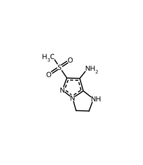 CS(=O)(=O)c1nn2c(c1N)NCC2